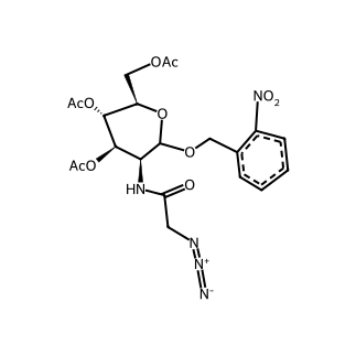 CC(=O)OC[C@H]1OC(OCc2ccccc2[N+](=O)[O-])[C@@H](NC(=O)CN=[N+]=[N-])[C@@H](OC(C)=O)[C@@H]1OC(C)=O